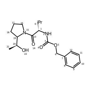 CC(C)[C@H](NC(=O)OCc1ccccc1)C(=O)N1CCCC1[C@H](C)O